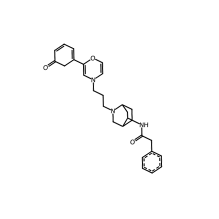 O=C1C=CC=C(C2=CN(CCCN3CC4CCC3CC4NC(=O)Cc3ccccc3)C=CO2)C1